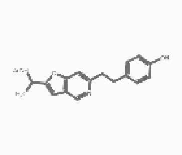 CC(=O)NC(C)c1cc2cnc(CCc3ccc(O)cc3)cc2o1